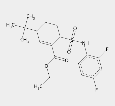 CCOC(=O)C1=CC(C(C)(C)C)CCC1S(=O)(=O)Nc1ccc(F)cc1F